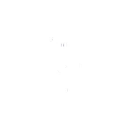 CC(C)(C)C1(c2cc(F)ccc2Cl)SCc2c(NC(=O)O)cccc21